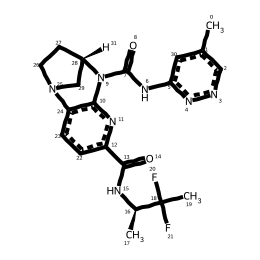 Cc1cnnc(NC(=O)N2c3nc(C(=O)N[C@H](C)C(C)(F)F)ccc3N3CC[C@H]2C3)c1